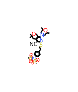 CC1CN(c2nc(SCCc3ccc(N(S(C)(=O)=O)S(C)(=O)=O)cc3)c(C#N)c3c2COC(C)(C)C3)CC(C)O1